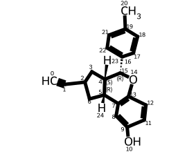 C#CC1C[C@H]2[C@@H](C1)c1cc(O)ccc1O[C@H]2c1ccc(C)cc1